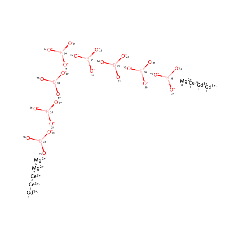 [Ce+3].[Ce+3].[Ce+3].[Gd+3].[Gd+3].[Gd+3].[Mg+2].[Mg+2].[Mg+2].[O-]B([O-])[O-].[O-]B([O-])[O-].[O-]B([O-])[O-].[O-]B([O-])[O-].[O-]B([O-])[O-].[O-]B([O-])[O-].[O-]B([O-])[O-].[O-]B([O-])[O-]